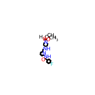 CC(C)(C)OC(=O)N1CCC(NCc2cccc(NC(=O)c3ccc(F)cc3)n2)CC1